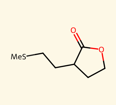 CSCCC1CCOC1=O